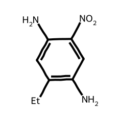 CCc1cc(N)c([N+](=O)[O-])cc1N